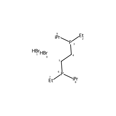 Br.Br.CCP(CCP(CC)C(C)C)C(C)C